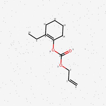 C=CCOC(=O)OC1=C(CC)CCCC1